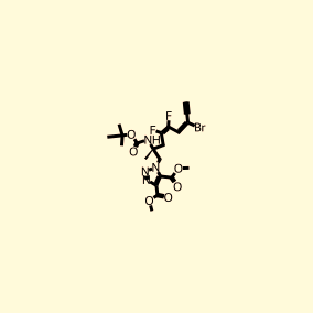 C#C/C(Br)=C\C(F)=C(\F)C[C@](C)(Cn1nnc(C(=O)OC)c1C(=O)OC)NC(=O)OC(C)(C)C